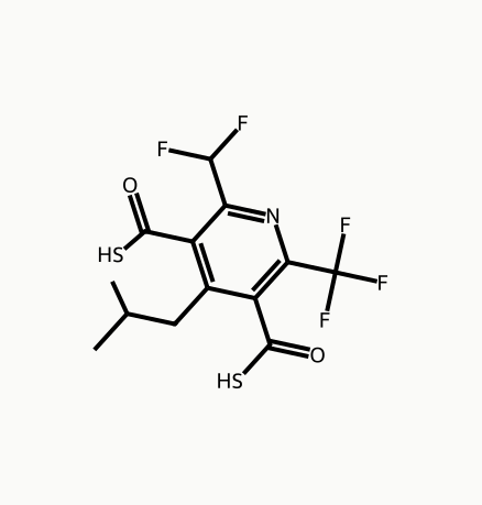 CC(C)Cc1c(C(=O)S)c(C(F)F)nc(C(F)(F)F)c1C(=O)S